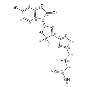 CC1(C)O/C(=C2/C(=O)Nc3cc(F)ccc32)C=C1c1csc(CNCC(=O)O)c1